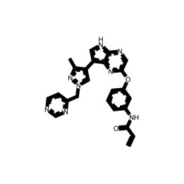 C=CC(=O)Nc1cccc(Oc2cnc3[nH]cc(-c4cn(Cc5ccncn5)nc4C)c3n2)c1